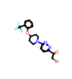 O=C(CBr)c1ccc(N2CCC(Oc3ccccc3C(F)(F)F)CC2)nn1